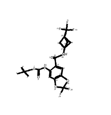 CC(C)(C)OC(=O)Nc1cc2c(cc1C(=O)NC13CC(C(F)(F)F)(C1)C3)OC(F)(F)O2